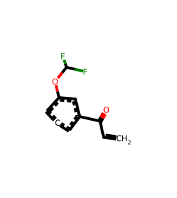 C=CC(=O)c1cccc(OC(F)F)c1